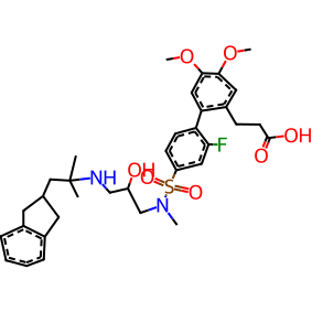 COc1cc(CCC(=O)O)c(-c2ccc(S(=O)(=O)N(C)CC(O)CNC(C)(C)CC3Cc4ccccc4C3)cc2F)cc1OC